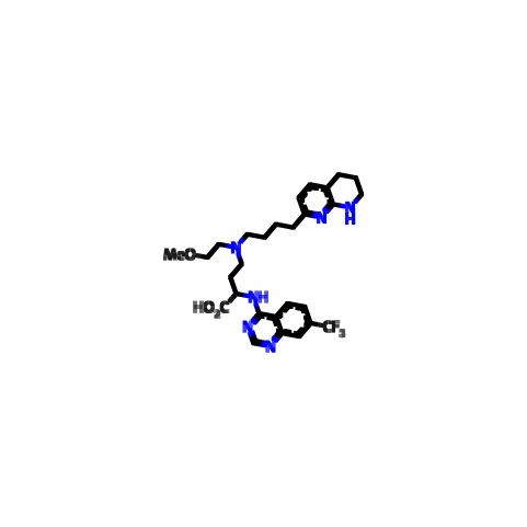 COCCN(CCCCc1ccc2c(n1)NCCC2)CCC(Nc1ncnc2cc(C(F)(F)F)ccc12)C(=O)O